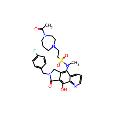 CC(=O)N1CCCN(CCS(=O)(=O)N(C)c2c3c(c(O)c4ncccc24)C(=O)N(Cc2ccc(F)cc2)C3)CC1